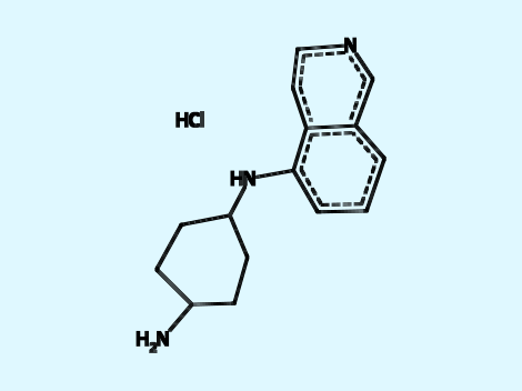 Cl.NC1CCC(Nc2cccc3cnccc23)CC1